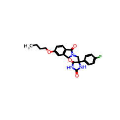 CCCCOc1ccc2c(c1)CN(CC1(c3ccc(F)cc3)NC(=O)NC1=O)C2=O